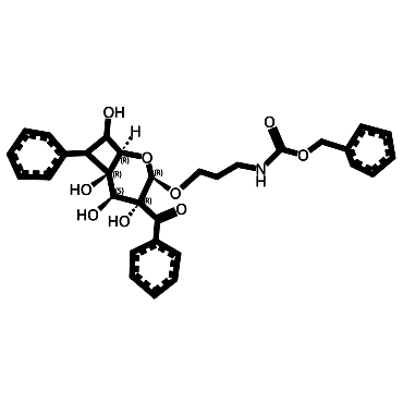 O=C(NCCCO[C@@H]1O[C@@H]2C(O)C(c3ccccc3)[C@@]2(O)[C@H](O)[C@]1(O)C(=O)c1ccccc1)OCc1ccccc1